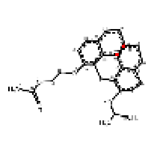 CC(C)Oc1ccc2ccccc2c1Cc1c(OCCOC(N)=O)ccc2ccccc12